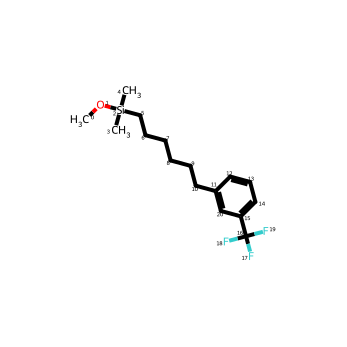 CO[Si](C)(C)CCCCCCc1cccc(C(F)(F)F)c1